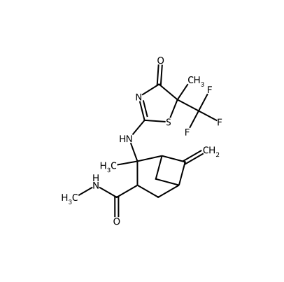 C=C1C2CC1C(C)(NC1=NC(=O)C(C)(C(F)(F)F)S1)C(C(=O)NC)C2